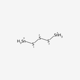 [SnH3][S]S[S][SnH3]